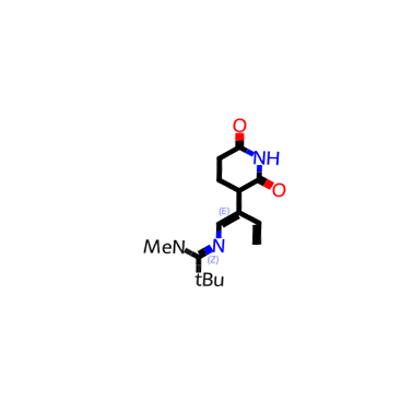 C=C/C(=C\N=C(/NC)C(C)(C)C)C1CCC(=O)NC1=O